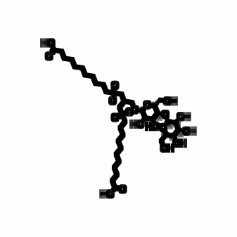 O=C(O)CCCCCCCCCCS(=O)(=O)CC(CO[C@H]1O[C@H](CO)[C@@H](O[C@@H]2O[C@H](CO)[C@H](O)[C@H](O)[C@H]2O)[C@H](O)[C@H]1O)CS(=O)(=O)CCCCCCCCCCC(=O)O